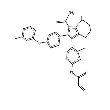 C=CC(=O)Nc1cc(C)c(-c2c(-c3ccc(Oc4cccc(C)n4)cc3)c(C(N)=O)c3n2CCCN3)cn1